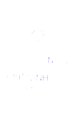 CC(C)(C)OC(=O)NCCn1cc(-c2cccs2)ccc1=O